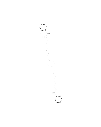 O=C(NCCCCCCN1CCN(CCCCCCNC(=O)c2ccccc2Cl)CC1)c1ccccc1Cl